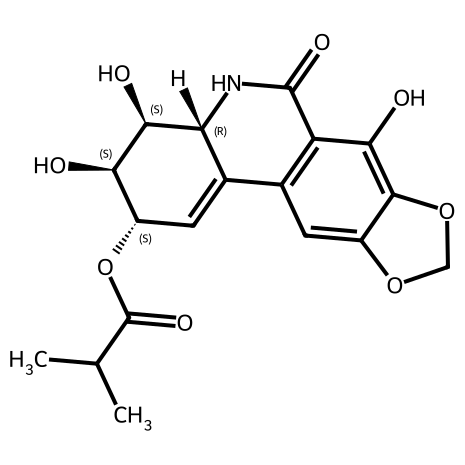 CC(C)C(=O)O[C@H]1C=C2c3cc4c(c(O)c3C(=O)N[C@H]2[C@H](O)[C@@H]1O)OCO4